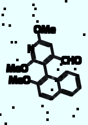 COc1cc(C=O)c(-c2c(OC)ccc3ccccc23)c(OC)n1